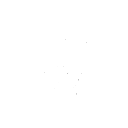 COC1(c2ccc(Cl)cc2)c2c(F)cc(C(=O)C3CCOCC3)cc2C(=O)N1C(c1ccc(Cl)cc1)C(C)C(=O)O